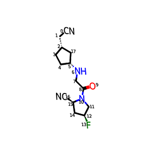 N#CC[C@H]1CC[C@@H](NCC(=O)N2C[C@@H](F)C[C@H]2C#N)C1